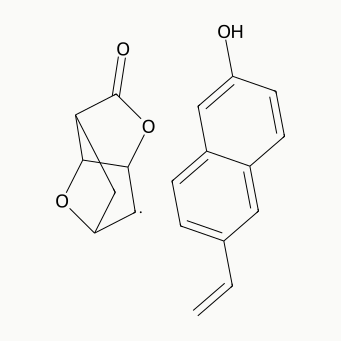 C=Cc1ccc2cc(O)ccc2c1.O=C1OC2[CH]C3CC1C2O3